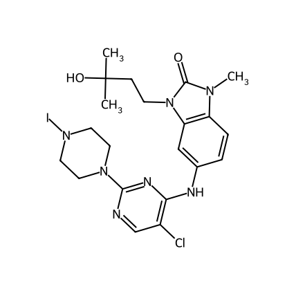 Cn1c(=O)n(CCC(C)(C)O)c2cc(Nc3nc(N4CCN(I)CC4)ncc3Cl)ccc21